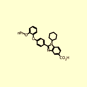 CCCOc1ccccc1Oc1ccc(-c2nc3cc(C(=O)O)ccc3n2C2CCCCC2)cc1